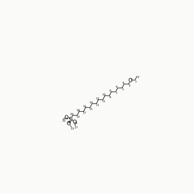 CCOCCCCCCCCCCCCCCCCCC[Si](OC)(OC)OC